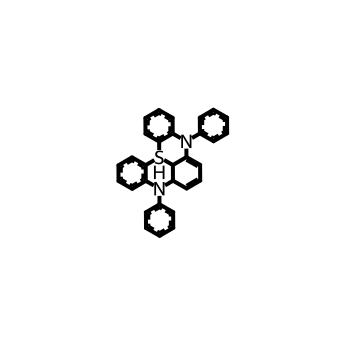 C1=CC2C3C(=C1)N(c1ccccc1)c1ccccc1[SH]3c1ccccc1N2c1ccccc1